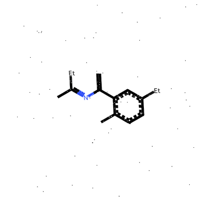 C=C(/N=C(/C)CC)c1cc(CC)ccc1C